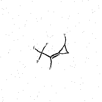 FC(=C1CC1F)C(F)(F)F